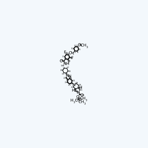 COc1ccc(COc2c(F)cc(C(=O)NC[C@H]3CC[C@H](n4cc5ccc(N6CC[C@@H]7CN(C(=O)OC(C)(C)C)C[C@@H]7C6)cc5n4)CC3)c(F)c2F)cc1